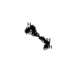 Cc1c(OCC[C@@H]2CC23CCN(CC(=O)Nc2ccc4c(C5CCC(=O)NC5=O)nn(C)c4c2)CC3)cccc1-c1ccc(N2CCc3cccc(C(=O)Nc4nc5ccccc5s4)c3C2)nc1C(=O)O